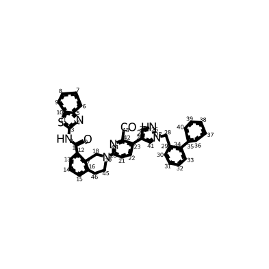 O=C(Nc1nc2ccccc2s1)c1cccc2c1CN(c1ccc(-c3cnn(Cc4ccccc4-c4ccccc4)c3)c(C(=O)O)n1)CC2